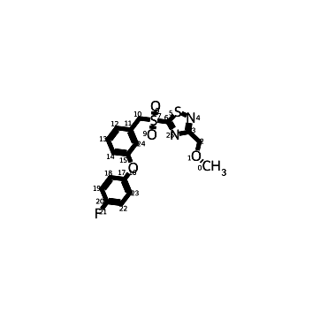 COCc1nsc(S(=O)(=O)Cc2cccc(Oc3ccc(F)cc3)c2)n1